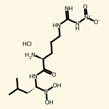 CC(C)C[C@H](NC(=O)[C@@H](N)CCCNC(=N)N[N+](=O)[O-])B(O)O.Cl